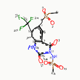 CS(=O)(=O)Cc1cc2c(=O)n(NS(C)(=O)=O)c(=O)[nH]c2cc1C(F)(F)F